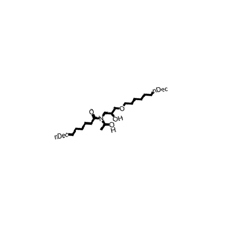 CCCCCCCCCCCCCCCCOCC(O)CN(C(=O)CCCCCCCCCCCCCCC)C(C)O